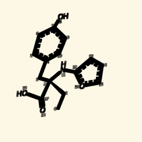 CC[C@@](Cc1ccc(O)cc1)(Nc1ccco1)C(=O)O